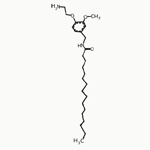 CCCCCCCCCCCCCCCC(=O)NCc1ccc(OCCN)c(OC)c1